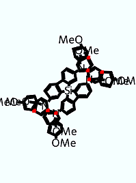 COc1ccc(N(c2ccc(OC)cc2)c2ccc3c(c2)[Si]2(c4cc(N(c5ccc(OC)cc5)c5ccc(OC)cc5)ccc4-3)c3cc(N(c4ccc(OC)cc4)c4ccc(OC)cc4)ccc3-c3ccc(N(c4ccc(OC)cc4)c4ccc(OC)cc4)cc32)cc1